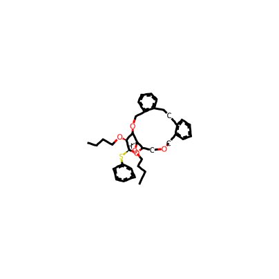 CCCCO[C@@H]1C2COCc3ccccc3CCc3ccccc3COC1[C@H](OCCCC)[C@H](Sc1ccccc1)O2